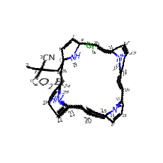 CCOC(=O)C(C)(C#N)CC12C=CC(Br)(C=c3ccc([nH]3)=CC3=NC(=Cc4ccc([nH]4)C1)C=C3)N2